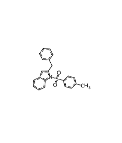 Cc1ccc(S(=O)(=O)n2c(Cc3ccccc3)cc3ccccc32)cc1